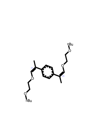 CCCCOCCO/C=C(/C)c1ccc(/C(C)=C\OCCOCCCC)cc1